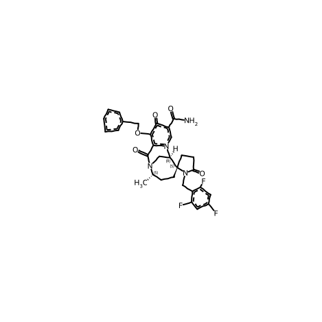 C[C@H]1CC[C@]2(CCC(=O)N2Cc2c(F)cc(F)cc2F)[C@H]2CN1C(=O)c1c(OCc3ccccc3)c(=O)c(C(N)=O)cn12